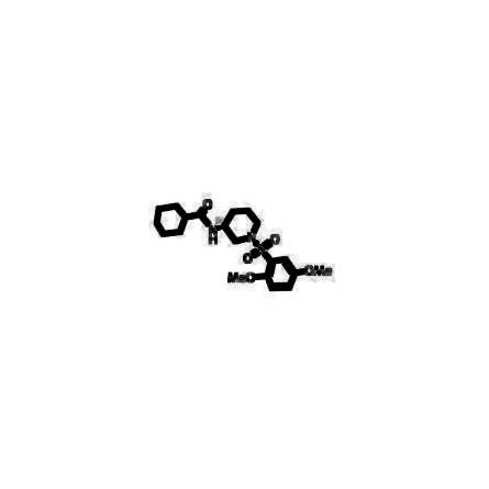 COc1ccc(OC)c(S(=O)(=O)N2CCC[C@H](NC(=O)C3CCCCC3)C2)c1